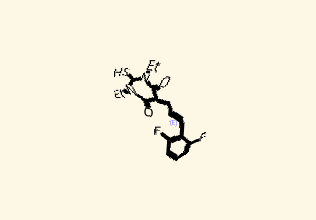 CCN1C(=O)C(=C/C=C/c2c(F)cccc2F)C(=O)N(CC)C1S